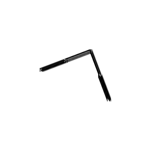 [Ni].[Ni].[Ni].[Ni].[Ni].[Ni].[Ni].[Ni].[Ni].[Ni].[Ni].[Ni].[Ni].[Ni].[Ni].[Ni].[Ni].[Ni].[Ni].[Ni].[Ni].[Ni].[Ni].[Ni].[Ni].[Ni].[Ni].[Ni].[Ni].[Ni].[Ni].[Ni].[Ni].[Ni].[Ni].[Ni].[Ni].[Ni].[Ni].[Ni].[Ni].[Ni].[Ni].[Ni].[Ni].[Ni].[Ni].[Ni].[Ni].[Ni].[Ti].[Ti].[Ti].[Ti].[Ti].[Ti].[Ti].[Ti].[Ti].[Ti].[Ti].[Ti].[Ti].[Ti].[Ti].[Ti].[Ti].[Ti].[Ti].[Ti].[Ti].[Ti].[Ti].[Ti].[Ti].[Ti].[Ti].[Ti].[Ti].[Ti].[Ti].[Ti].[Ti].[Ti].[Ti].[Ti].[Ti].[Ti].[Ti].[Ti].[Ti].[Ti].[Ti].[Ti].[Ti].[Ti].[Ti].[Ti].[Ti].[Ti]